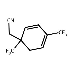 N#CCC1(C(F)(F)F)C=CC(C(F)(F)F)=CC1